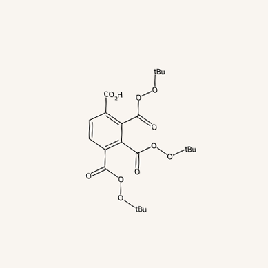 CC(C)(C)OOC(=O)c1ccc(C(=O)O)c(C(=O)OOC(C)(C)C)c1C(=O)OOC(C)(C)C